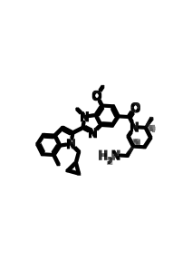 COc1cc(C(=O)N2C[C@H](CN)CC[C@@H]2C)cc2nc(-c3cc4cccc(C)c4n3CC3CC3)n(C)c12